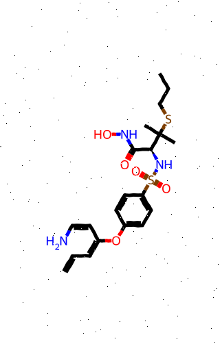 C=C/C=C(\C=C/N)Oc1ccc(S(=O)(=O)N[C@@H](C(=O)NO)C(C)(C)SCCC)cc1